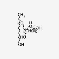 CCCCCCCCCCCCCO.O=S(=O)(O)O.OCCN(CCO)CCO